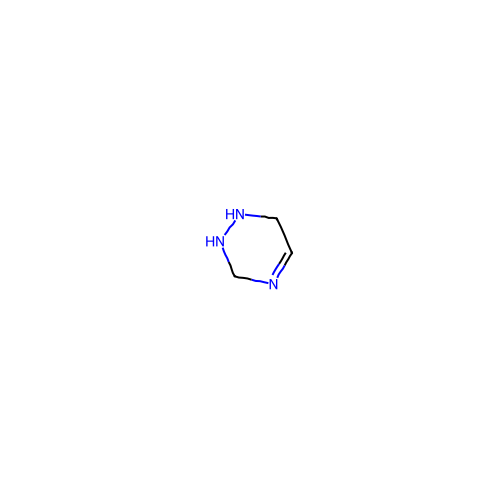 C1=NCNNC1